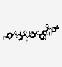 C=C/C(C(=O)Nc1ccc(Oc2ccnc3[nH]c(C(=O)N4CCC5(CC5)C4)cc23)cn1)=C(/C)N(C)N(C)c1ccc(F)cc1